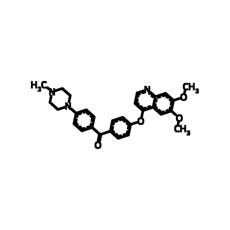 COc1cc2nccc(Oc3ccc(C(=O)c4ccc(N5CCN(C)CC5)cc4)cc3)c2cc1OC